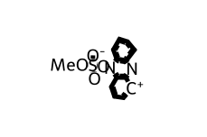 COS(=O)(=O)[O-].[C+]1=CC=Cc2nc3ccccc3nc21